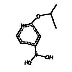 CC(C)Oc1cc(B(O)O)ccn1